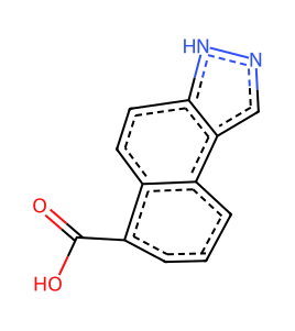 O=C(O)c1cccc2c1ccc1[nH]ncc12